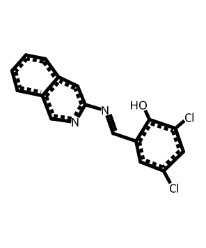 Oc1c(Cl)cc(Cl)cc1C=Nc1cc2ccccc2cn1